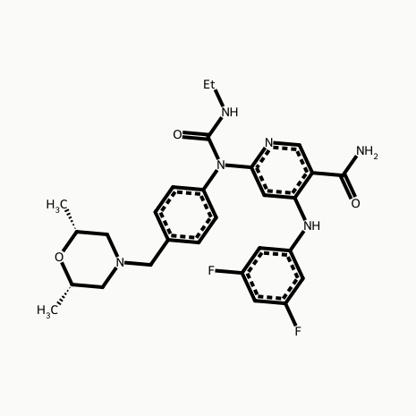 CCNC(=O)N(c1ccc(CN2C[C@@H](C)O[C@@H](C)C2)cc1)c1cc(Nc2cc(F)cc(F)c2)c(C(N)=O)cn1